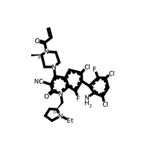 C=CC(=O)N1CCN(c2c(C#N)c(=O)n(C[C@@H]3CCCN3CC)c3c(F)c(-c4c(N)c(Cl)cc(Cl)c4F)c(Cl)cc23)C[C@H]1C